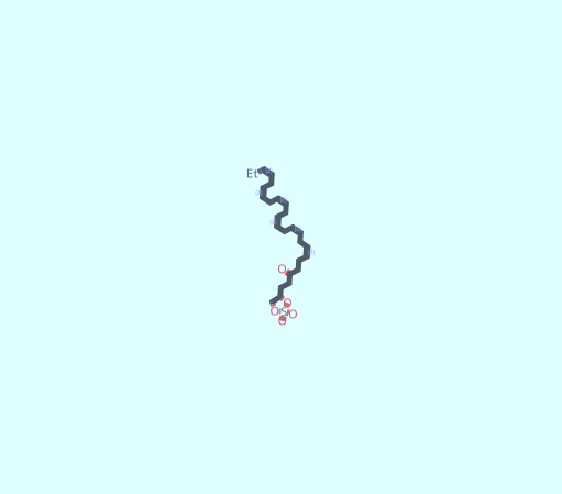 CC/C=C\C/C=C\C/C=C\C/C=C\C/C=C\C/C=C\CCC(=O)CCC1COS(=O)(=O)O1